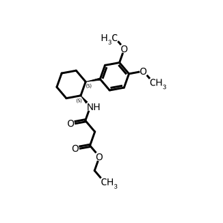 CCOC(=O)CC(=O)N[C@H]1CCCC[C@H]1c1ccc(OC)c(OC)c1